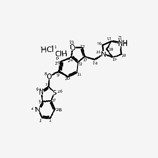 Cl.Cl.c1cnc2nc(Oc3ccc4c(CN5CC6CC5CN6)coc4c3)sc2c1